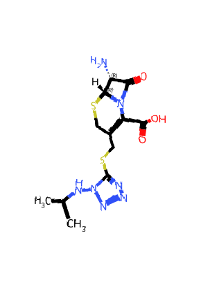 CC(C)Nn1nnnc1SCC1=C(C(=O)O)N2C(=O)[C@@H](N)[C@H]2SC1